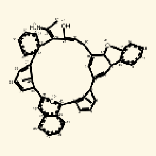 CC1=C2C=CCC1C1=CC3c4ccccc4OC3C(=C1)C/C=C(O)\C(=C(/C)N)c1ccccc1C1=CC=CC(c3cc2c2ccccc2c3)C1C